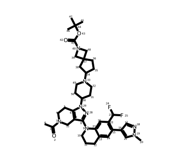 CC(=O)N1CCc2c(c(N3CCCc4cc(-c5cnn(C)c5)c(C(F)F)cc43)nn2C2CCN(C3CCC4(C3)CN(C(=O)OC(C)(C)C)C4)CC2)C1